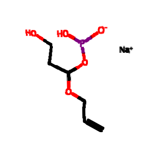 C=CCOC(CCO)OP([O-])O.[Na+]